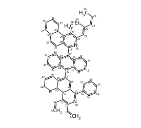 C=CC1=C(C=C)C2C(=CC(c3c4ccccc4c(-c4nc(/C=C(/C=C\C)CC)c(C)c5c4C=CC4C=CC=CC54)c4ccccc34)=C3C=CCCC32)C(c2ccccc2)=N1